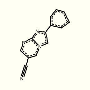 N#Cc1cnc2nc(-c3ccccc3)cn2c1